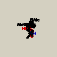 CC#Cc1cn([C@H]2C[C@H](O)[C@@H](COC(c3ccccc3)(c3ccc(OC)cc3)c3ccc(OC)cc3)O2)c(=O)[nH]c1=O